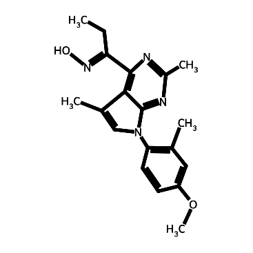 CCC(=NO)c1nc(C)nc2c1c(C)cn2-c1ccc(OC)cc1C